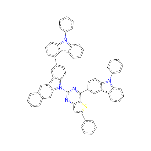 c1ccc(-c2cc3nc(-n4c5ccc(-c6cccc7c6c6ccccc6n7-c6ccccc6)cc5c5cc6ccccc6cc54)nc(-c4ccc5c(c4)c4ccccc4n5-c4ccccc4)c3s2)cc1